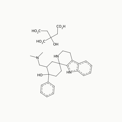 CN(C)CC1CC2(CCC1(O)c1ccccc1)NCCc1c2[nH]c2ccccc12.O=C(O)CC(O)(CC(=O)O)C(=O)O